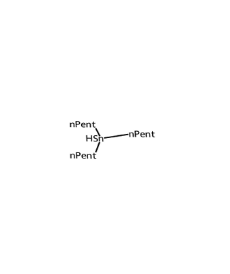 CCCC[CH2][SnH]([CH2]CCCC)[CH2]CCCC